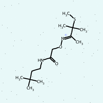 CSC(C)(C)/C(C)=N/OCC(=O)NCCC(C)(C)C